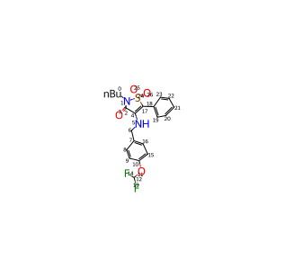 CCCCN1C(=O)C(NCc2ccc(OC(F)F)cc2)=C(c2ccccc2)S1(=O)=O